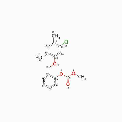 COC(=O)Oc1ccccc1COc1cc(Cl)c(C)cc1C